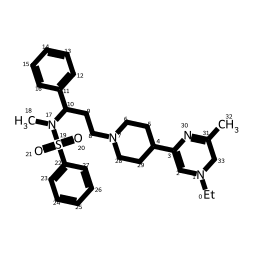 CCN1C=C(C2CCN(CCC(c3ccccc3)N(C)S(=O)(=O)c3ccccc3)CC2)N=C(C)C1